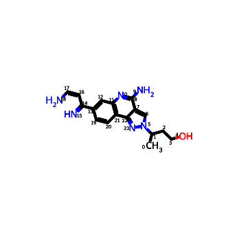 CC(CCO)n1cc2c(N)nc3cc(C(=N)/C=C\N)ccc3c2n1